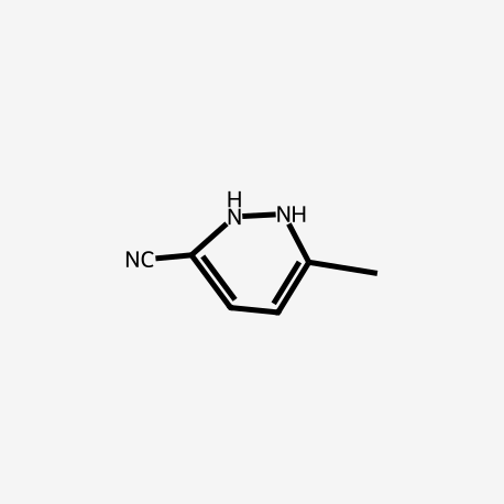 CC1=CC=C(C#N)NN1